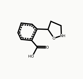 O=C(O)c1ccccc1C1CCNO1